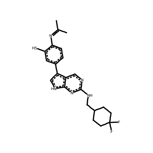 CC(C)=Nc1ccc(-c2c[nH]c3nc(NCC4CCC(F)(F)CC4)ncc23)cc1S